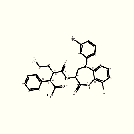 N#Cc1cccc(N2C[C@H](NC(=O)[C@H](CCC(F)(F)F)[C@@H](C(N)=O)c3ccccc3)C(=O)Nc3c(F)cccc32)c1